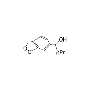 CCCC(O)c1ccc2c(c1)OOC2